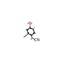 Cc1cc(Br)ccc1CC#N